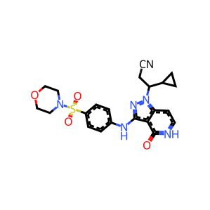 N#CCC(C1CC1)n1nc(Nc2ccc(S(=O)(=O)N3CCOCC3)cc2)c2c(=O)[nH]ccc21